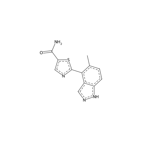 Cc1ccc2[nH]ncc2c1-c1ncc(C(N)=O)s1